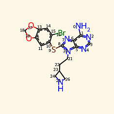 Nc1ncnc2c1nc(Sc1cc3c(cc1Br)OCO3)n2CCC1CNC1